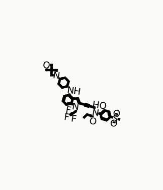 CCC(=O)N(CC#Cc1cc2c(N[C@H]3CC[C@H](N4CC5(COC5)C4)CC3)cccc2n1CC(F)(F)F)c1ccc(S(C)(=O)=O)cc1O